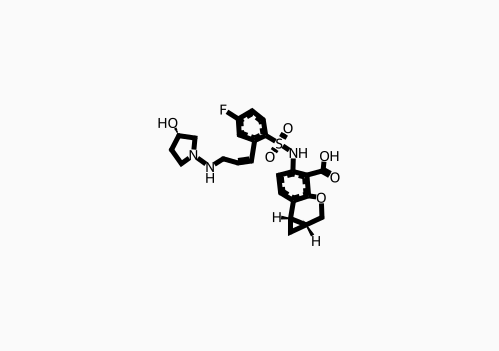 O=C(O)c1c(NS(=O)(=O)c2ccc(F)cc2/C=C\CNN2CC[C@H](O)C2)ccc2c1OC[C@@H]1C[C@H]21